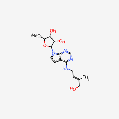 CO[C@@H]1OC(n2ccc3c(NC/C=C(\C)CO)ncnc32)[C@@H](O)[C@H]1O